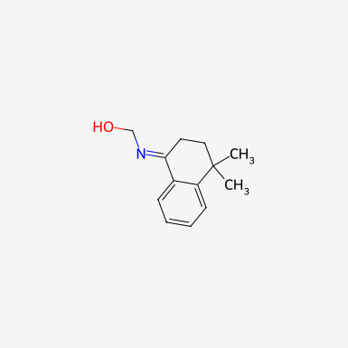 CC1(C)CC/C(=N\CO)c2ccccc21